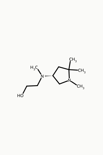 CN(CCO)[C@H]1CN(C)C(C)(C)C1